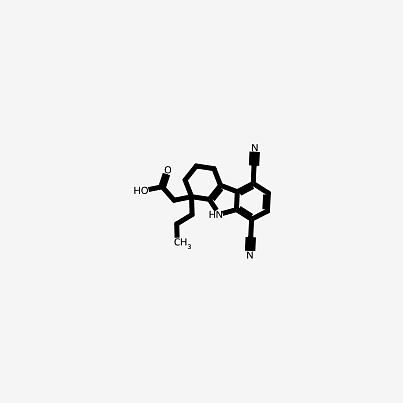 CCCC1(CC(=O)O)CCCc2c1[nH]c1c(C#N)ccc(C#N)c21